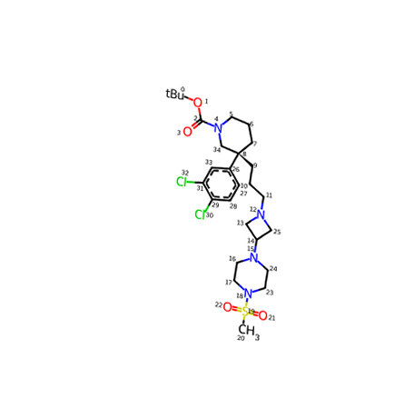 CC(C)(C)OC(=O)N1CCC[C@](CCCN2CC(N3CCN(S(C)(=O)=O)CC3)C2)(c2ccc(Cl)c(Cl)c2)C1